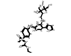 CCOC(=O)N=S(C)(=O)c1ccc(Nc2ncc(-c3cccs3)c(NCCC(C)(O)C(F)(F)F)n2)cc1